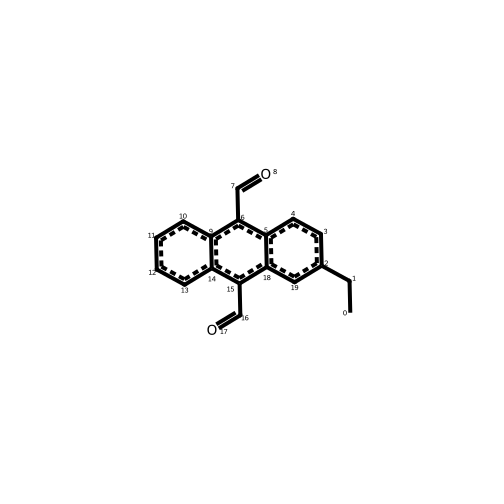 CCc1ccc2c(C=O)c3ccccc3c(C=O)c2c1